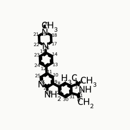 C=C1NC(C)(C)c2cc(-c3cc(-c4ccc(N5CCN(C)CC5)cc4)cnc3N)ccc21